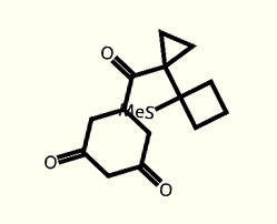 CSC1(C2(C(=O)C3CC(=O)CC(=O)C3)CC2)CCC1